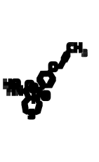 CC#CCOc1ccc(S(=O)(=O)N2C=CSC=CC2C(=O)NO)cc1